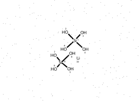 O[Si](O)(O)O.O[Si](O)(O)O.[Li]